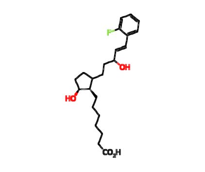 O=C(O)CCCCCC[C@@H]1C(CCC(O)/C=C/c2ccccc2F)CC[C@@H]1O